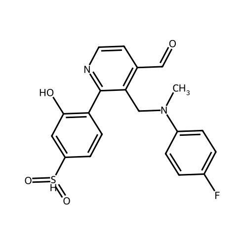 CN(Cc1c(C=O)ccnc1-c1ccc([SH](=O)=O)cc1O)c1ccc(F)cc1